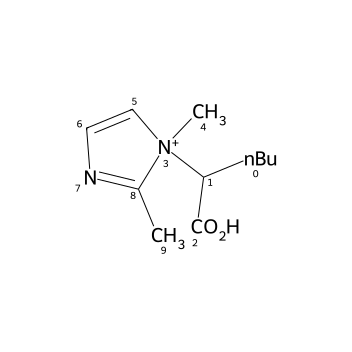 CCCCC(C(=O)O)[N+]1(C)C=CN=C1C